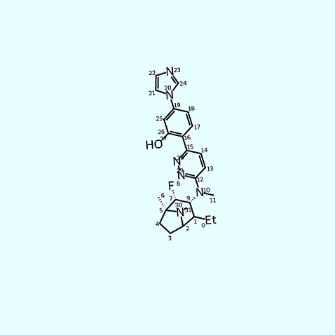 CCC1C2CC[C@@](C)([C@H](F)[C@@H]1N(C)c1ccc(-c3ccc(-n4ccnc4)cc3O)nn1)N2C